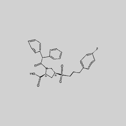 O=C(O)[C@@H]1C[C@H](S(=O)(=O)CCCc2ccc(F)cc2)CN1C(=O)C(c1ccccc1)c1ccccc1